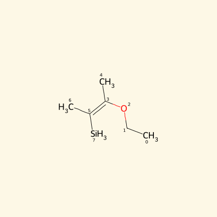 CCOC(C)=C(C)[SiH3]